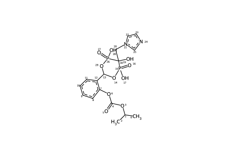 CC(C)OC(=O)Oc1ccccc1C1OP(=O)(O)C(O)(Cn2ccnc2)P(=O)(O)O1